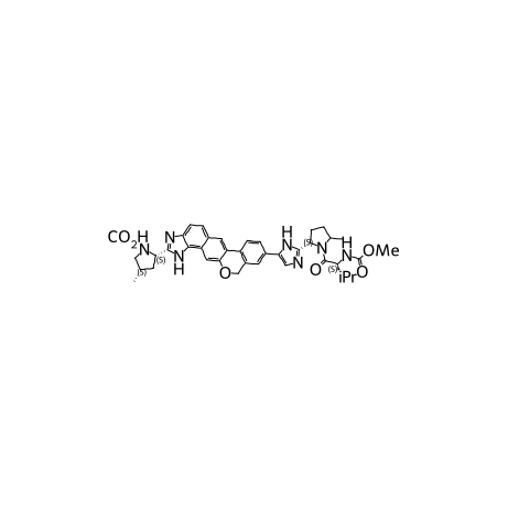 COC(=O)N[C@H](C(=O)N1C(C)CC[C@H]1c1ncc(-c2ccc3c(c2)COc2cc4c(ccc5nc([C@@H]6C[C@H](C)CN6C(=O)O)[nH]c54)cc2-3)[nH]1)C(C)C